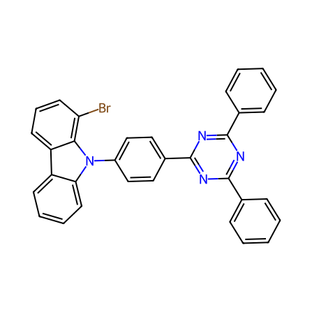 Brc1cccc2c3ccccc3n(-c3ccc(-c4nc(-c5ccccc5)nc(-c5ccccc5)n4)cc3)c12